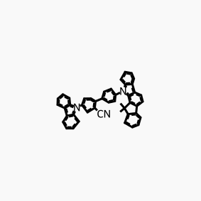 CC1(C)c2ccccc2-c2ccc3c4ccccc4n(-c4ccc(-c5ccc(-n6c7ccccc7c7ccccc76)cc5C#N)cc4)c3c21